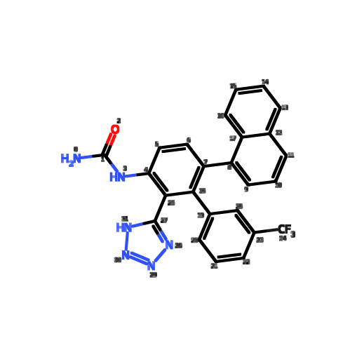 NC(=O)Nc1ccc(-c2cccc3ccccc23)c(-c2cccc(C(F)(F)F)c2)c1-c1nnn[nH]1